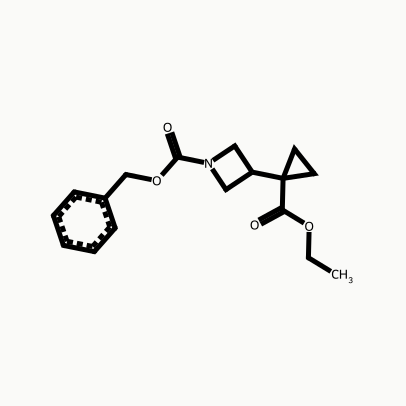 CCOC(=O)C1(C2CN(C(=O)OCc3ccccc3)C2)CC1